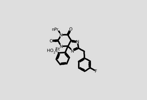 CCCN1C(=O)C2=NC(Cc3cccc(F)c3)=NC2(c2ccccc2C(=O)O)N(CC)C1=O